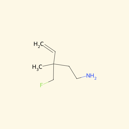 C=CC(C)(CF)CCN